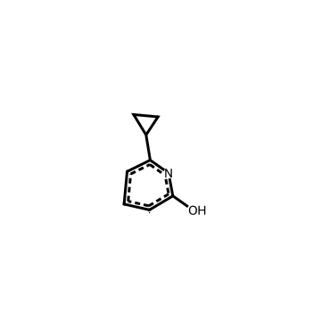 Oc1[c]ccc(C2CC2)n1